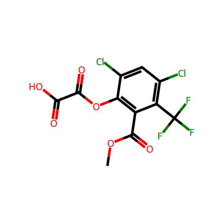 COC(=O)c1c(OC(=O)C(=O)O)c(Cl)cc(Cl)c1C(F)(F)F